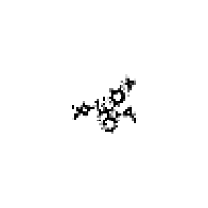 C[C@](C(=O)NC1CC(F)(F)C1)(c1cncnc1)N(C(=O)[C@H]1C[C@H]1F)c1ccc(OC(F)(F)F)cc1